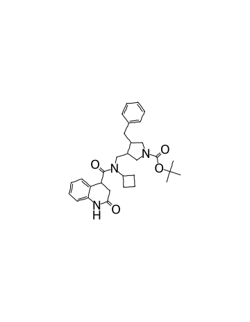 CC(C)(C)OC(=O)N1CC(Cc2ccccc2)C(CN(C(=O)C2CC(=O)Nc3ccccc32)C2CCC2)C1